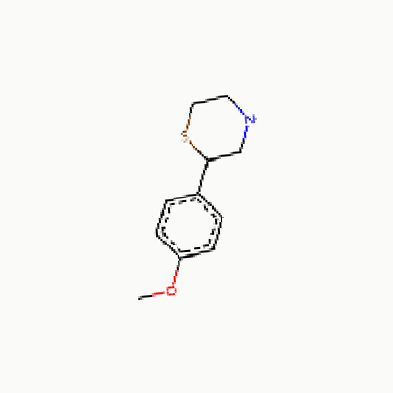 COc1ccc(C2C[N]CCS2)cc1